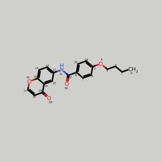 CCCCOc1ccc(C(=O)Nc2ccc3o[c]cc(=O)c3c2)cc1